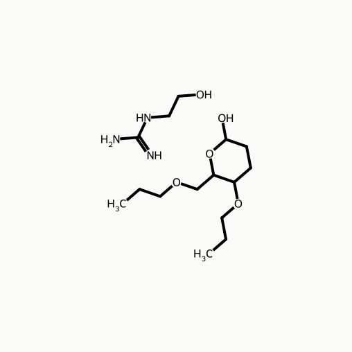 CCCOCC1OC(O)CCC1OCCC.N=C(N)NCCO